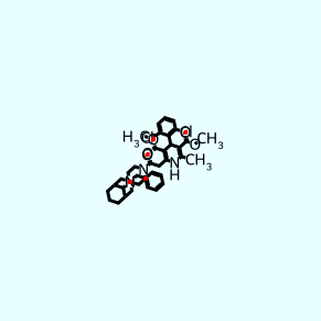 COC(=O)C1=C(C)NC(CC(=O)N2CCN(C3C4CCCC3CN(Cc3ccccc3)C4)CC2)=C(C(=O)OC)C1c1c(Cl)cccc1Cl